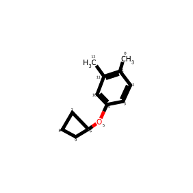 Cc1ccc(OC2CCC2)cc1C